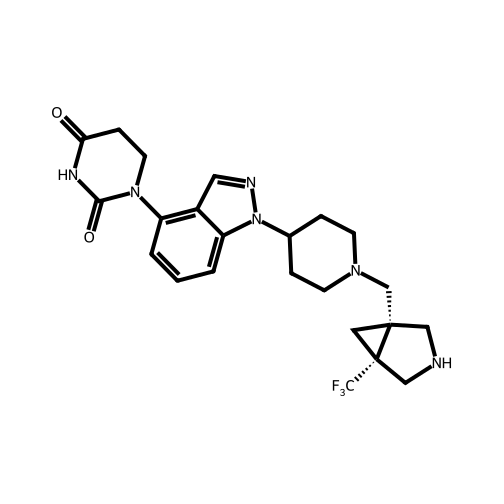 O=C1CCN(c2cccc3c2cnn3C2CCN(C[C@]34CNC[C@@]3(C(F)(F)F)C4)CC2)C(=O)N1